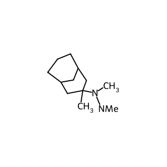 CNN(C)C1(C)CC2CCCC(C2)C1